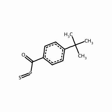 CC(C)(C)c1ccc(C(=O)P=S)cc1